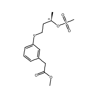 COC(=O)Cc1cccc(SCC[C@@H](C)OS(C)(=O)=O)c1